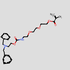 C=C(C)C(=O)OCCOCCOCCNC(=O)OCCN(Cc1ccccc1)Cc1ccccc1